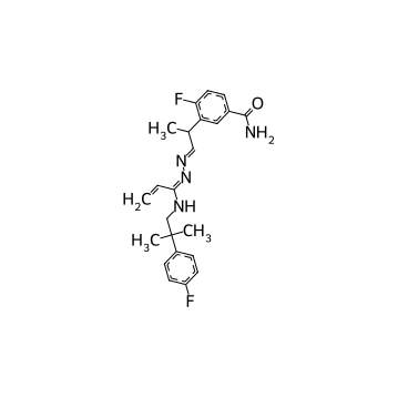 C=C/C(=N\N=C\C(C)c1cc(C(N)=O)ccc1F)NCC(C)(C)c1ccc(F)cc1